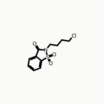 O=C1c2ccccc2S(=O)(=O)N1CCCCCl